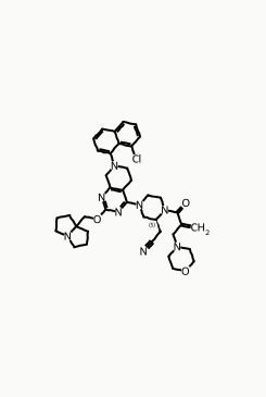 C=C(CN1CCOCC1)C(=O)N1CCN(c2nc(OCC34CCCN3CCC4)nc3c2CCN(c2cccc4cccc(Cl)c24)C3)C[C@@H]1CC#N